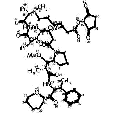 CC[C@H](C)[C@@H]([C@@H](CC(=O)N1CCC[C@H]1[C@H](OC)[C@@H](C)C(=O)N[C@H](C(=O)N1CCCCO1)[C@@H](C)c1ccccc1)OC)N(C)[C@H](C(=O)NC(=O)[C@H](C(C)C)N(C)CCCCCC(=O)ON1C(=O)CCC1=O)C(C)C